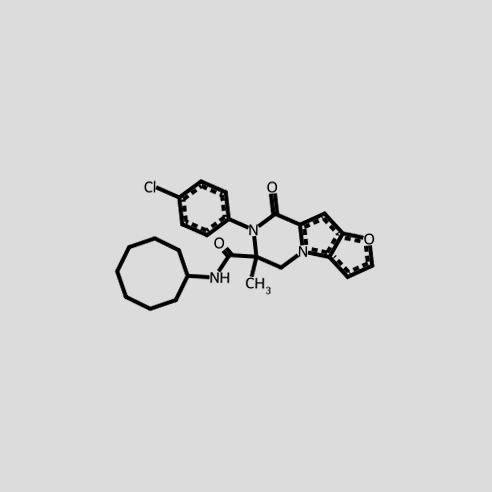 CC1(C(=O)NC2CCCCCCC2)Cn2c(cc3occc32)C(=O)N1c1ccc(Cl)cc1